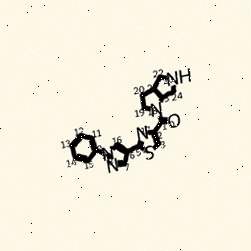 O=C(c1csc(-c2cnn(-c3ccccc3)c2)n1)N1CCC2CNCC21